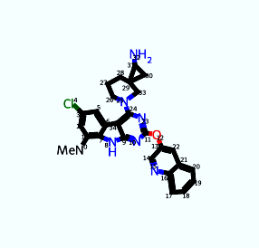 CNc1cc(Cl)cc2c1[nH]c1nc(Oc3cnc4ccccc4c3)nc(N3CCCC4(CC4N)C3)c12